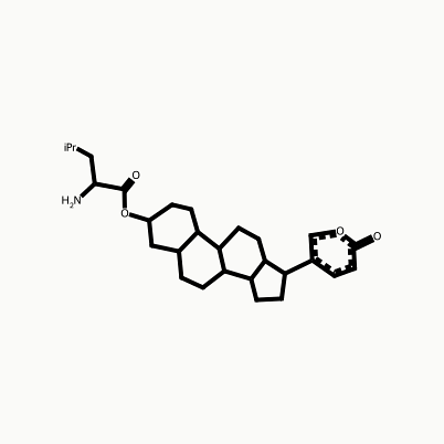 CC(C)CC(N)C(=O)OC1CCC2C(CCC3C2CCC2C(c4ccc(=O)oc4)CCC23)C1